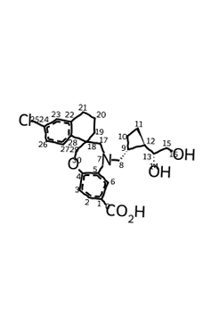 O=C(O)c1ccc2c(c1)N(C[C@@H]1CC[C@H]1[C@@H](O)CO)CC1(CCCc3cc(Cl)ccc31)CO2